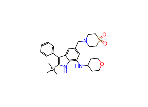 C[Si](C)(C)c1[nH]c2c(NC3CCOCC3)cc(CN3CCS(=O)(=O)CC3)cc2c1-c1ccccc1